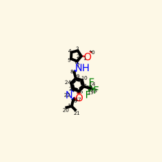 CO[C@@H]1CCC[C@@H]1NCc1cc(C(F)(F)F)c2oc(C(C)C)nc2c1